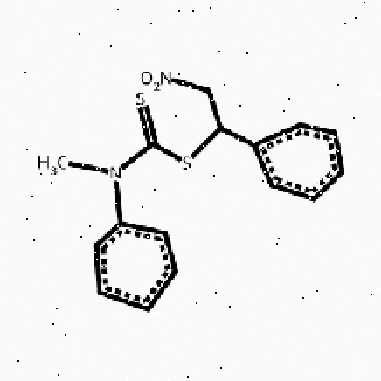 CN(C(=S)SC(C[N+](=O)[O-])c1ccccc1)c1ccccc1